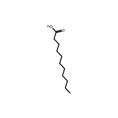 CCCCCCCC[CH]CC(=O)O